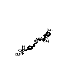 CC(=O)c1ccc2[nH]c(C(=O)NCCN(C)CCCc3ccc(CNC(=O)OC(C)(C)C)cc3)cc2c1